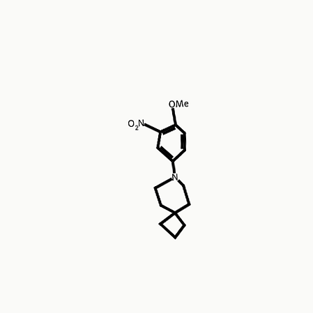 COc1ccc(N2CCC3(CCC3)CC2)cc1[N+](=O)[O-]